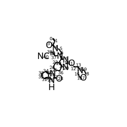 C=CC(=O)N1CCN(c2nc(OCCN3CCOCC3)nc3c2CCC(n2c(=O)[nH]c4ccccc42)C3)C[C@@H]1CC#N